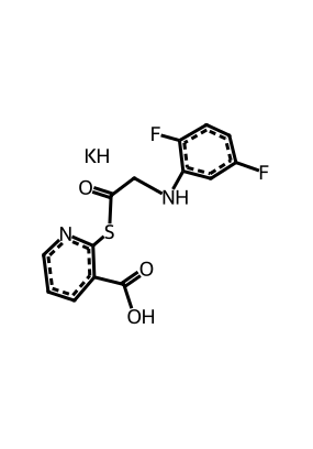 O=C(CNc1cc(F)ccc1F)Sc1ncccc1C(=O)O.[KH]